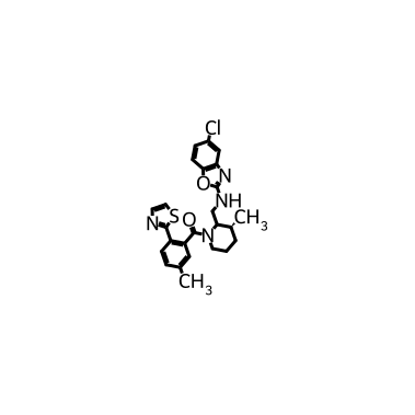 Cc1ccc(-c2nccs2)c(C(=O)N2CCC[C@@H](C)C2CNc2nc3cc(Cl)ccc3o2)c1